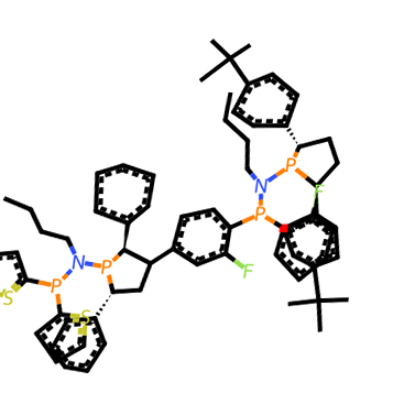 CCCCN(P(c1ccccc1F)c1ccc(C2C[C@H](c3ccccc3)P(N(CCCC)P(c3cccs3)c3cccs3)[C@H]2c2ccccc2)cc1F)P1[C@H](c2ccc(C(C)(C)C)cc2)CC[C@H]1c1ccc(C(C)(C)C)cc1